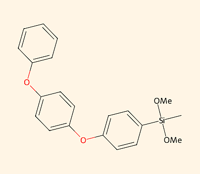 CO[Si](C)(OC)c1ccc(Oc2ccc(Oc3ccccc3)cc2)cc1